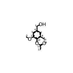 COc1cc(CO)cc(I)c1OC(C)=O